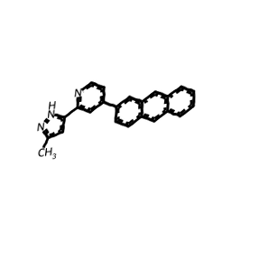 Cc1cc(-c2cc(-c3ccc4cc5ccccc5cc4c3)ccn2)[nH]n1